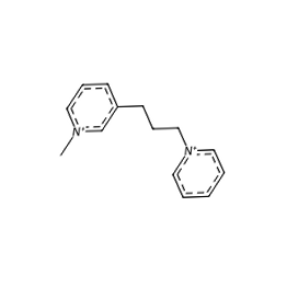 C[n+]1cccc(CCC[n+]2ccccc2)c1